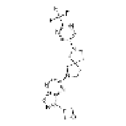 FC(F)(F)c1ncc(N2CCC3(CCN(c4cnc5cnn(C6COC6)c5n4)C3)C2)cn1